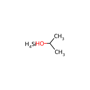 CC(C)O.[SiH4]